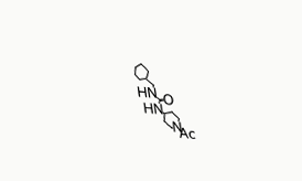 CC(=O)N1CCC(NC(=O)NCC2CCCCC2)CC1